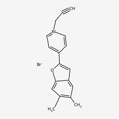 C#CC[n+]1ccc(-c2cc3cc(C)c(C)cc3o2)cc1.[Br-]